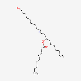 CCCCCCCCC(=O)OC(C/C=C/CCCCCCCC=O)CCCCCC